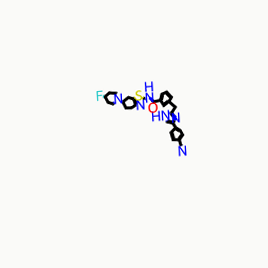 N#Cc1ccc(-c2c[nH]c(Cc3cccc(C(=O)Nc4nc5c(s4)CC(N4CCC(F)CC4)CC5)c3)n2)cc1